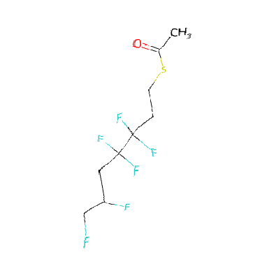 CC(=O)SCCC(F)(F)C(F)(F)CC(F)CF